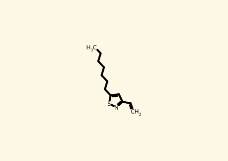 C=Cc1cc(CCCCCCC)sn1